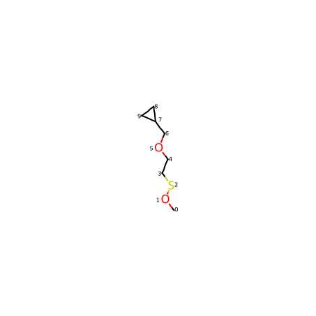 COSCCOCC1CC1